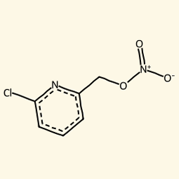 O=[N+]([O-])OCc1cccc(Cl)n1